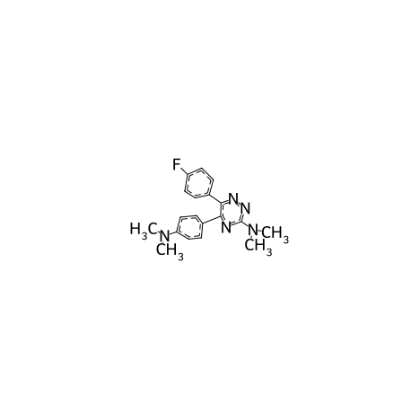 CN(C)c1ccc(-c2nc(N(C)C)nnc2-c2ccc(F)cc2)cc1